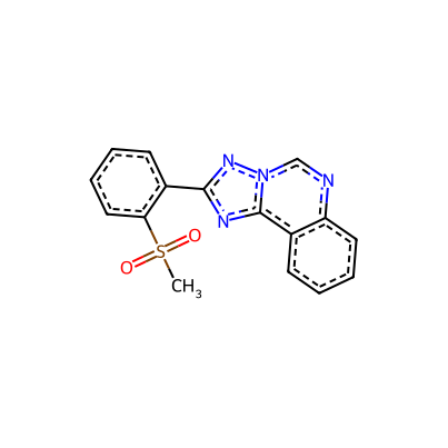 CS(=O)(=O)c1ccccc1-c1nc2c3ccccc3ncn2n1